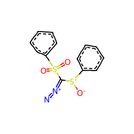 [N-]=[N+]=C([S+]([O-])c1ccccc1)S(=O)(=O)c1ccccc1